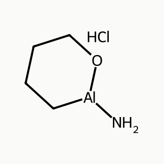 Cl.[NH2][Al]1[CH2]CCC[O]1